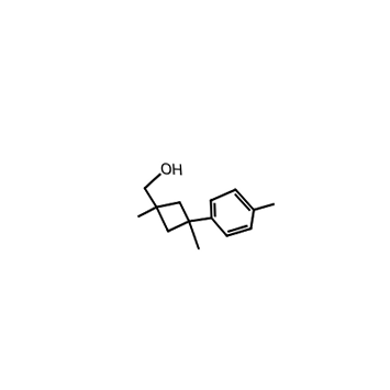 Cc1ccc(C2(C)CC(C)(CO)C2)cc1